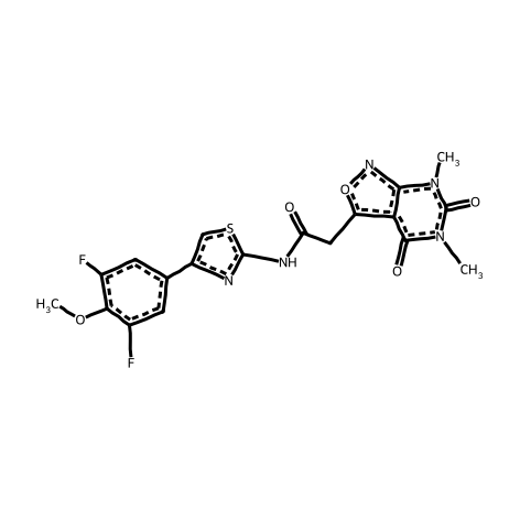 COc1c(F)cc(-c2csc(NC(=O)Cc3onc4c3c(=O)n(C)c(=O)n4C)n2)cc1F